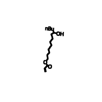 C=CC(=O)OCCCCCCCCC(O)CCCC